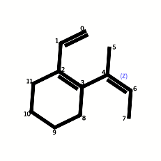 C=CC1=C(/C(C)=C\C)CCCC1